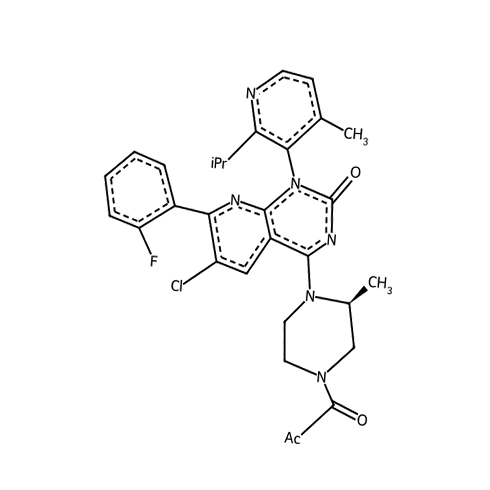 CC(=O)C(=O)N1CCN(c2nc(=O)n(-c3c(C)ccnc3C(C)C)c3nc(-c4ccccc4F)c(Cl)cc23)[C@@H](C)C1